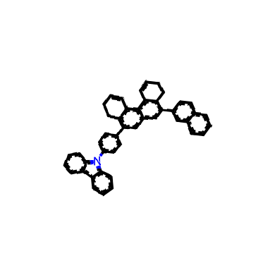 C1=Cc2c(c(-c3ccc(-n4c5ccccc5c5ccccc54)cc3)cc3cc(-c4ccc5ccccc5c4)c4c(c23)C=CCC4)CC1